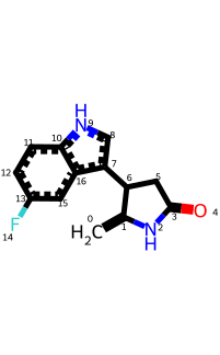 C=C1NC(=O)CC1c1c[nH]c2ccc(F)cc12